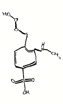 CNc1cc(S(=O)(=O)O)ccc1SOOO